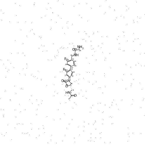 CC(=O)NC[C@H]1CN(c2ccc(-c3ccc(CNC(=O)CN)c(F)c3)c(F)c2)C(=O)O1